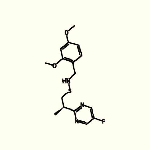 COc1ccc(CNSC[C@H](C)c2ncc(F)cn2)c(OC)c1